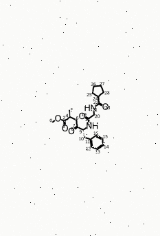 COC(=O)[C@@H](C)CC(=O)[C@@H](Cc1ccccc1)NC(=O)CNC(=O)C1CCCC1